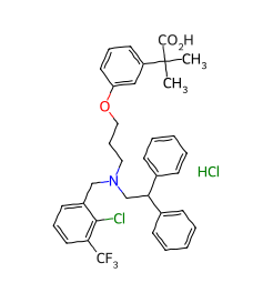 CC(C)(C(=O)O)c1cccc(OCCCN(Cc2cccc(C(F)(F)F)c2Cl)CC(c2ccccc2)c2ccccc2)c1.Cl